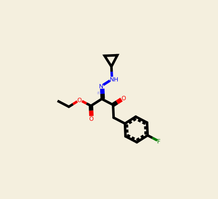 CCOC(=O)/C(=N/NC1CC1)C(=O)Cc1ccc(F)cc1